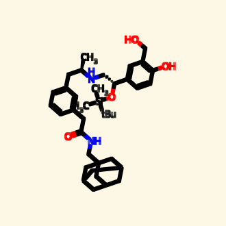 C[C@H](Cc1cccc(CC(=O)NCC23CC4CC(CC(C4)C2)C3)c1)NC[C@@H](O[Si](C)(C)C(C)(C)C)c1ccc(O)c(CO)c1